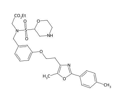 CCOC(=O)CN(Cc1cccc(OCCc2nc(-c3ccc(C)cc3)oc2C)c1)S(=O)(=O)C1CNCCO1